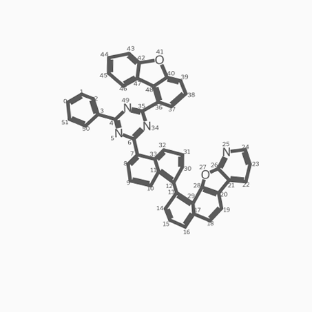 c1ccc(-c2nc(-c3cccc4c(-c5cccc6ccc7c8cccnc8oc7c56)cccc34)nc(-c3cccc4oc5ccccc5c34)n2)cc1